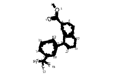 COC(=O)c1ccc2c(c1)C(c1cccc(C(F)(F)F)c1)=CCC2